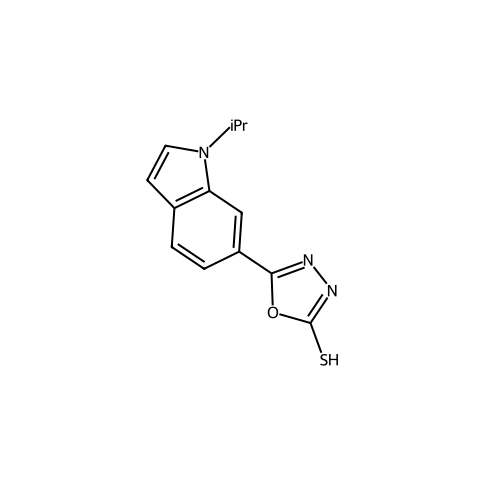 CC(C)n1ccc2ccc(-c3nnc(S)o3)cc21